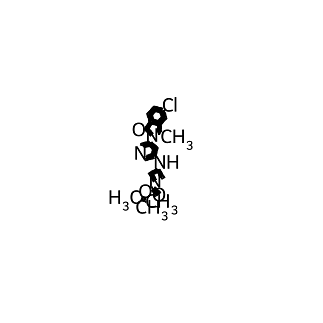 CC1c2cc(Cl)ccc2C(=O)N1c1cncc(NC2CN(C(=O)OC(C)(C)C)C2)c1